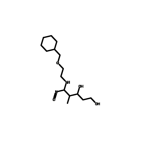 CC(C(O)CCO)C(N=O)NCCOCC1CCCCC1